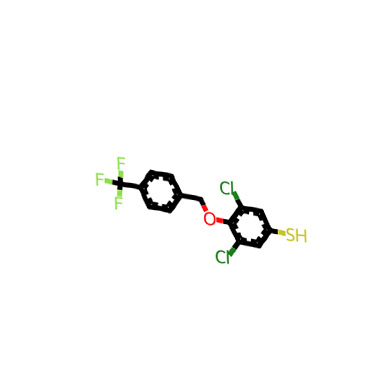 FC(F)(F)c1ccc(COc2c(Cl)cc(S)cc2Cl)cc1